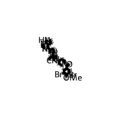 COc1c(Br)cc(C(=O)N2CCC(N3CC(CC#N)(n4cc(-c5ncnc6[nH]ccc56)cn4)C3)CC2)cc1Br